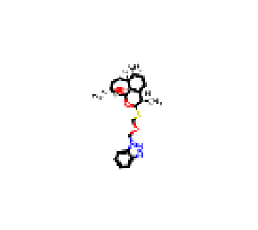 C[C@H]1[C@H](SCOCn2nnc3ccccc32)O[C@@H]2O[C@]3(C)CC[C@H]4[C@H](C)CC[C@@H]1[C@@]24OO3